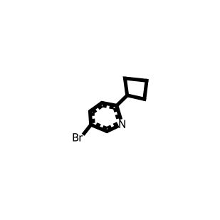 Brc1ccc(C2CCC2)nc1